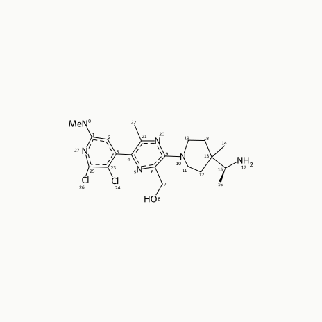 CNc1cc(-c2nc(CO)c(N3CCC(C)([C@H](C)N)CC3)nc2C)c(Cl)c(Cl)n1